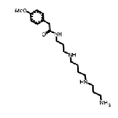 COc1ccc(CC(=O)NCCCNCCCCNCCCN)cc1